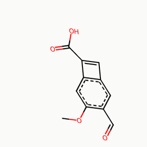 COc1cc2c(cc1C=O)C=C2C(=O)O